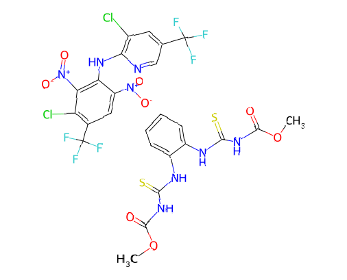 COC(=O)NC(=S)Nc1ccccc1NC(=S)NC(=O)OC.O=[N+]([O-])c1cc(C(F)(F)F)c(Cl)c([N+](=O)[O-])c1Nc1ncc(C(F)(F)F)cc1Cl